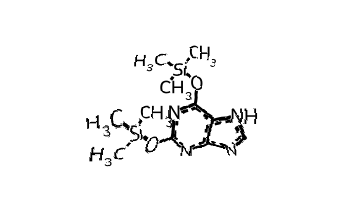 C[Si](C)(C)Oc1nc(O[Si](C)(C)C)c2[nH]cnc2n1